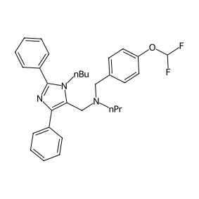 CCCCn1c(-c2ccccc2)nc(-c2ccccc2)c1CN(CCC)Cc1ccc(OC(F)F)cc1